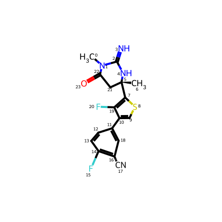 CN1C(=N)N[C@](C)(c2scc(-c3ccc(F)c(C#N)c3)c2F)CC1=O